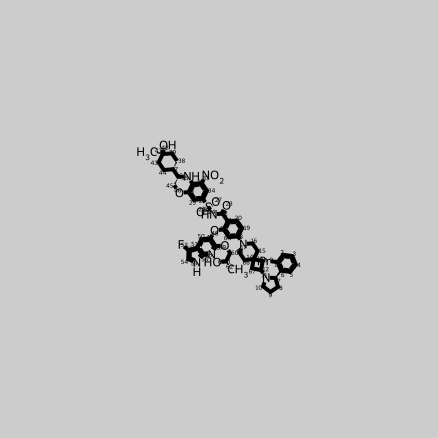 CC(C)c1ccccc1[C@H]1CCCN1C1CC2(CCN(c3ccc(C(=O)NS(=O)(=O)c4cc5c(c([N+](=O)[O-])c4)N[C@@H]([C@H]4CC[C@](C)(O)CC4)CO5)c(Oc4cc5c(F)c[nH]c5nc4OC[C@H](C)O)c3)CC2)C1